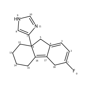 FC1=CC=C2CC3(c4c[nH]cn4)CCCCC3=C2C1